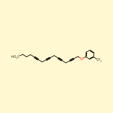 O=C(O)CCCC#CCC#CCC#CCC#CCOc1cccc(C(F)(F)F)c1